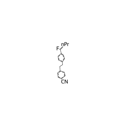 CCCC=C(F)c1ccc(CCc2ccc(C#N)cc2)cc1